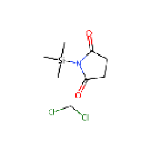 C[Si](C)(C)N1C(=O)CCC1=O.ClCCl